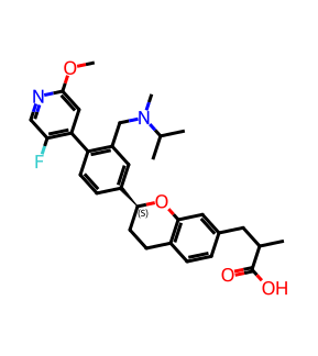 COc1cc(-c2ccc([C@@H]3CCc4ccc(CC(C)C(=O)O)cc4O3)cc2CN(C)C(C)C)c(F)cn1